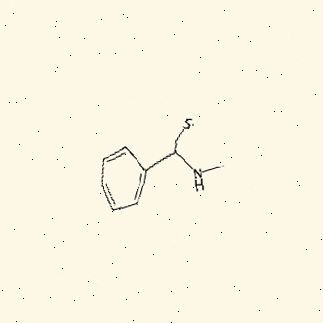 CNC([S])c1ccccc1